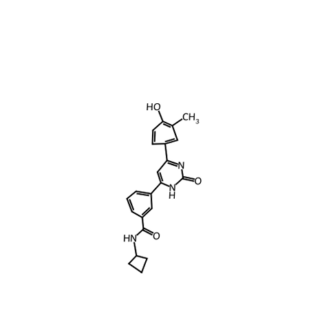 Cc1cc(-c2cc(-c3cccc(C(=O)NC4CCC4)c3)[nH]c(=O)n2)ccc1O